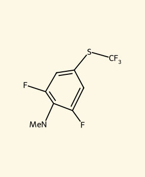 CNc1c(F)cc(SC(F)(F)F)cc1F